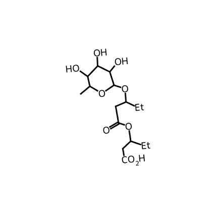 CCC(CC(=O)O)OC(=O)CC(CC)OC1OC(C)C(O)C(O)C1O